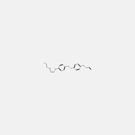 C=CCCc1ccc(CCc2ccc(C3CCC(CCC)O3)cc2)cc1